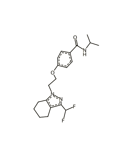 CC(C)NC(=O)c1ccc(OCCn2nc(C(F)F)c3c2CCCC3)cc1